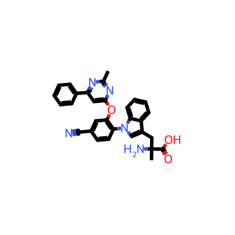 Cc1nc(Oc2cc(C#N)ccc2-n2cc(CC(C)(N)C(=O)O)c3ccccc32)cc(-c2ccccc2)n1